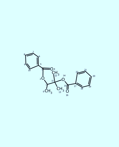 CC(OC(=O)c1ccccc1)C(C)(C)OC(=O)c1ccccc1